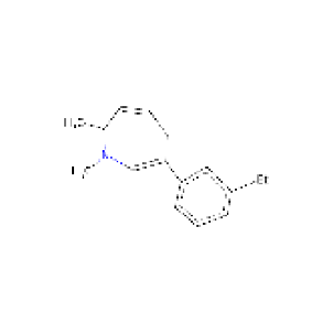 CCc1cccc(C2=CN(C)C(C)C=CC2)c1